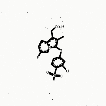 Cc1c(CC(=O)O)c2ccc(F)cn2c1Sc1ccc(S(C)(=O)=O)c(Cl)c1